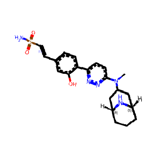 CN(c1ccc(-c2ccc(/C=C/S(N)(=O)=O)cc2O)nn1)C1C[C@H]2CCC[C@@H](C1)N2